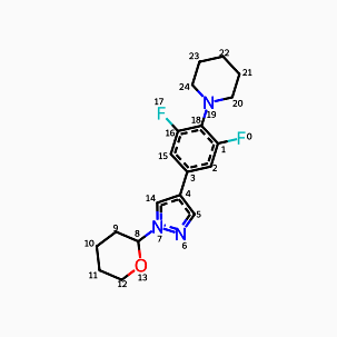 Fc1cc(-c2cnn(C3CCCCO3)c2)cc(F)c1N1CCCCC1